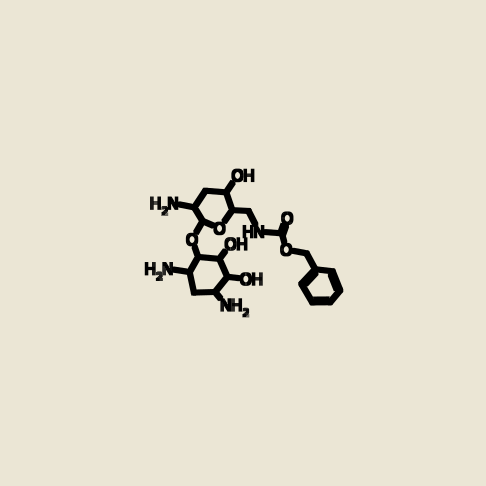 NC1CC(O)C(CNC(=O)OCc2ccccc2)OC1OC1C(N)CC(N)C(O)C1O